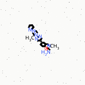 CC1CN(c2ccccn2)CCN1c1ncc(-c2cccc(CN(C)C(=O)CN)c2)cn1